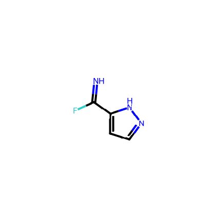 N=C(F)c1ccn[nH]1